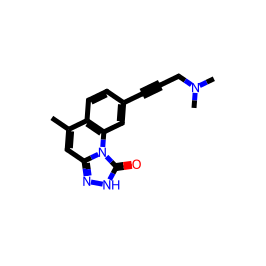 Cc1cc2n[nH]c(=O)n2c2cc(C#CCN(C)C)ccc12